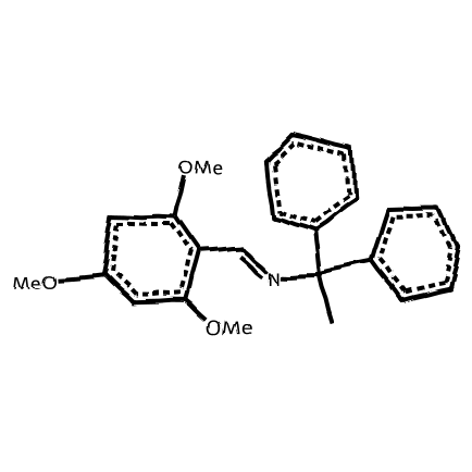 COc1cc(OC)c(C=NC(C)(c2ccccc2)c2ccccc2)c(OC)c1